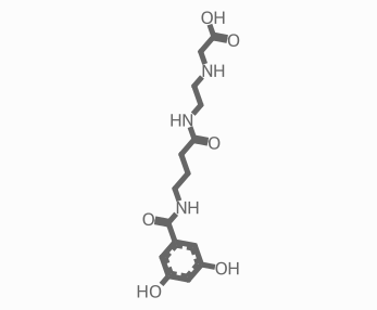 O=C(O)CNCCNC(=O)CCCNC(=O)c1cc(O)cc(O)c1